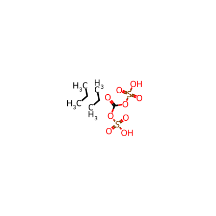 CCC.CCC.O=C(OS(=O)(=O)O)OS(=O)(=O)O